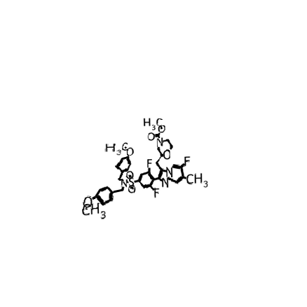 COC(=O)N1CCO[C@@H](Cc2c(-c3c(F)cc(S(=O)(=O)N(Cc4ccc(OC)cc4)Cc4ccc(OC)cc4)cc3F)nc3cc(C)c(F)cn23)C1